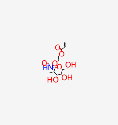 C=CC(=O)OCCO[C@@]1(NC=O)OC(CO)C(O)C(O)C1C